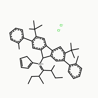 CCC(C)[C](C(C)CC)=[Zr+2]([C]1=CC=CC1)[CH]1c2cc(-c3ccccc3C)c(C(C)(C)C)cc2-c2cc(C(C)(C)C)c(-c3ccccc3C)cc21.[Cl-].[Cl-]